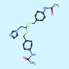 CC(=O)Nc1ccc(CSC(Cn2ccnc2)SCc2ccc(NC(C)=O)cc2)cc1